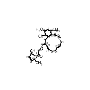 Cc1cc(C)c2c(c1Cl)CC(=N/OCC(=O)N1C(C)C=CC1C)/C=C/CC/C=C/CCOC2=O